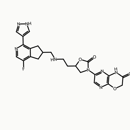 O=C1COc2ncc(N3CC(CCNCC4Cc5c(F)cnc(-c6cn[nH]c6)c5C4)OC3=O)nc2N1